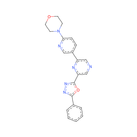 c1ccc(-c2nnc(-c3cncc(-c4ccc(N5CCOCC5)nc4)n3)o2)cc1